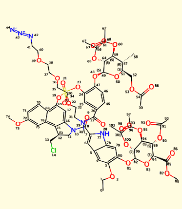 CCOc1cc2cc(C(=O)N3C[C@@H](CCl)c4c3cc(OS(=O)(=O)Oc3cc(C(=O)N(C)CCOCCOCCOCCN=[N+]=[N-])ccc3O[C@@H]3O[C@H](COC(C)=O)[C@@H](C)[C@H](OC(C)=O)[C@H]3OC(C)=O)c3ccc(OC)cc43)[nH]c2cc1OC1O[C@H](C(=O)OC)[C@@H](OC(C)=O)[C@H](OC(C)=O)[C@H]1OC(C)=O